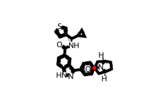 O=C(N[C@H](c1ccsc1)C1CC1)c1ccc2[nH]nc(-c3ccc(N4[C@@H]5CC[C@H]4C[C@@H](O)C5)cc3)c2c1